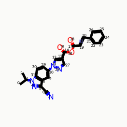 CC(C)n1nc(C#N)c2cc(-n3cc(C(=O)OC(=O)/C=C/c4ccccc4)cn3)ccc21